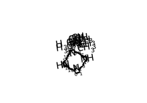 C1=Cc2cc3ccc(cc4nc(cc5ccc(cc1n2)[nH]5)C=C4)[nH]3.C[CH2][Ru]([CH2]C)([CH2]C)([CH2]C)([CH2]C)([CH2]C)([CH2]C)[CH2]C